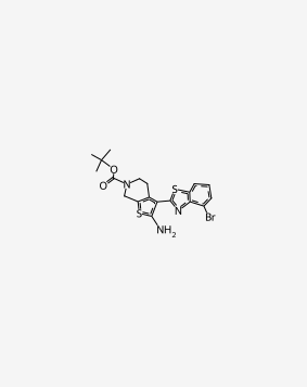 CC(C)(C)OC(=O)N1CCc2c(sc(N)c2-c2nc3c(Br)cccc3s2)C1